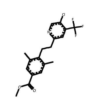 COC(=O)c1cc(C)c(CCc2cc(C(F)(F)F)c(Cl)cn2)c(C)c1